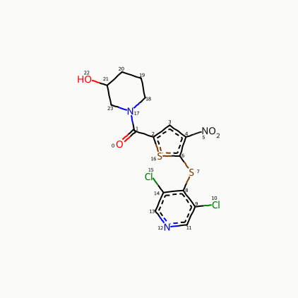 O=C(c1cc([N+](=O)[O-])c(Sc2c(Cl)cncc2Cl)s1)N1CCCC(O)C1